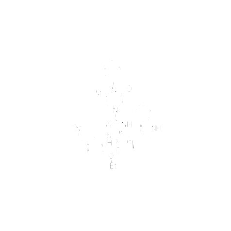 CCOc1ccc(CN(C)C)cc1NC(=O)[C@H](NC(=O)N1CC(=O)N(c2ccccc2)C(=O)C1)[C@H](C)c1c[nH]c2ccccc12